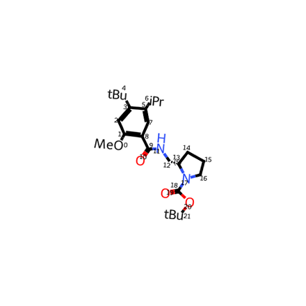 COc1cc(C(C)(C)C)c(C(C)C)cc1C(=O)NC[C@@H]1CCCN1C(=O)OC(C)(C)C